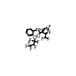 Cn1cc(C(=O)Nc2ccccc2OC(F)(F)C(F)C(F)(F)F)c(C(F)F)n1